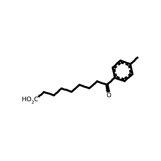 Cc1ccc(C(=O)CCCCCCCC(=O)O)cc1